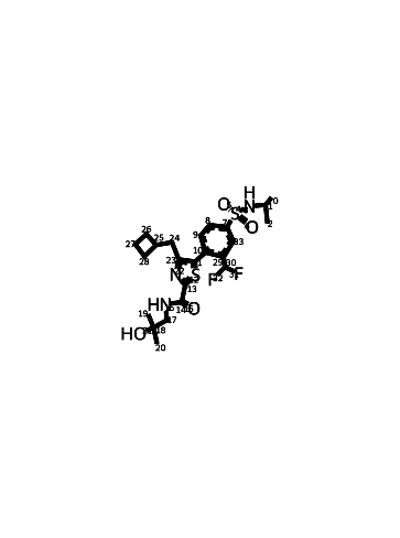 CC(C)NS(=O)(=O)c1ccc(-c2sc(C(=O)NCC(C)(C)O)nc2CC2CCC2)c(C(F)F)c1